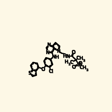 CC(C)(C(=O)NCCn1ccc2ncnc(Nc3ccc(Oc4cccc5sccc45)c(Cl)c3)c21)S(C)(=O)=O